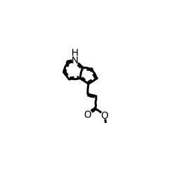 COC(=O)C=Cc1ccc2[nH]cccc1-2